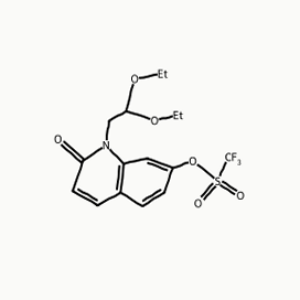 CCOC(Cn1c(=O)ccc2ccc(OS(=O)(=O)C(F)(F)F)cc21)OCC